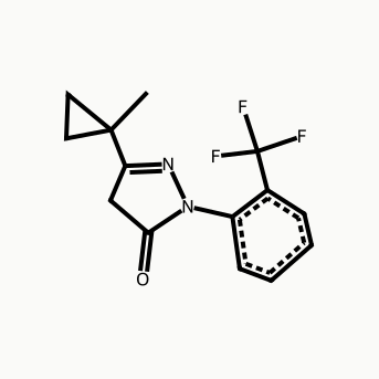 CC1(C2=NN(c3ccccc3C(F)(F)F)C(=O)C2)CC1